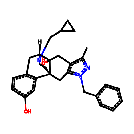 Cc1nn(Cc2ccccc2)c2c1C[C@@]1(O)[C@H]3Cc4ccc(O)cc4[C@@]1(CCN3CC1CC1)C2